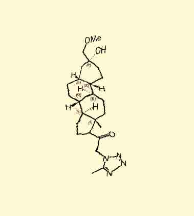 COC[C@@]1(O)CC[C@H]2[C@H](CC[C@@H]3[C@@H]2CC[C@]2(C)C(C(=O)Cn4nnnc4C)CC[C@@H]32)C1